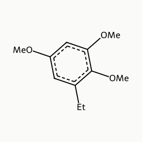 CCc1cc(OC)cc(OC)c1OC